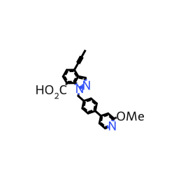 CC#Cc1ccc(C(=O)O)c2c1cnn2Cc1ccc(-c2ccnc(OC)c2)cc1